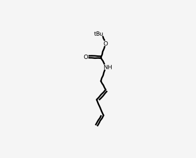 C=CC=CCNC(=O)OC(C)(C)C